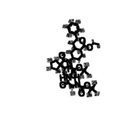 CCOC(=O)C1CCC(NC(=O)C2(C(CNC(=O)[C@@H](C)NC(=O)OC(C)(C)C)CC(=O)OC(C)(C)C)CCCC2)CC1CCc1ccccc1